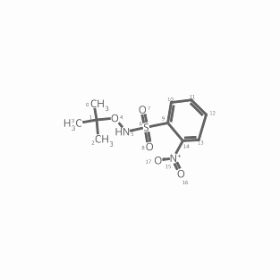 CC(C)(C)ONS(=O)(=O)c1ccccc1[N+](=O)[O-]